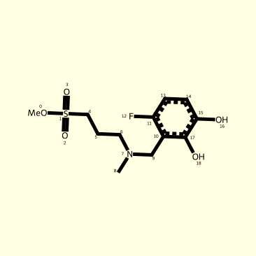 COS(=O)(=O)CCCN(C)Cc1c(F)ccc(O)c1O